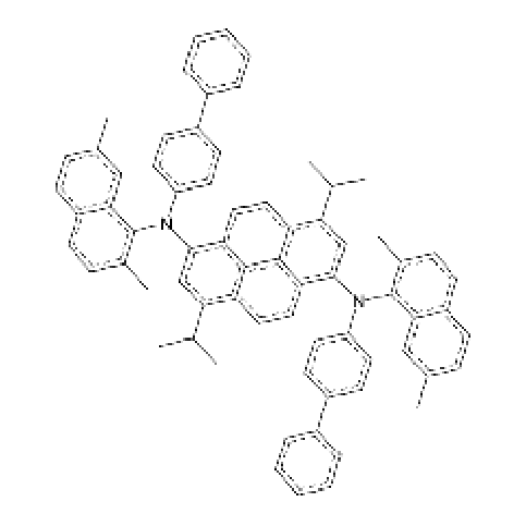 Cc1ccc2ccc(C)c(N(c3ccc(-c4ccccc4)cc3)c3cc(C(C)C)c4ccc5c(N(c6ccc(-c7ccccc7)cc6)c6c(C)ccc7ccc(C)cc67)cc(C(C)C)c6ccc3c4c65)c2c1